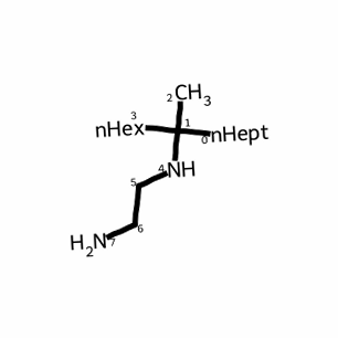 CCCCCCCC(C)(CCCCCC)NCCN